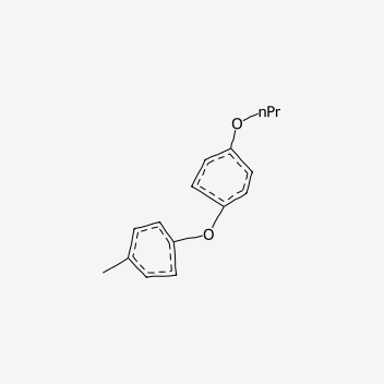 CCCOc1ccc(Oc2ccc(C)cc2)cc1